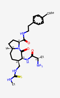 CCNC(=S)NC[C@H]1CC[C@H]2CC[C@@H](C(=O)NCCc3ccc(OC)cc3)N2C(=O)[C@H]1NC(=O)[C@@H](N)CC